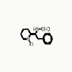 CCN1CCCCC1C(Cc1ccccc1)NC=O